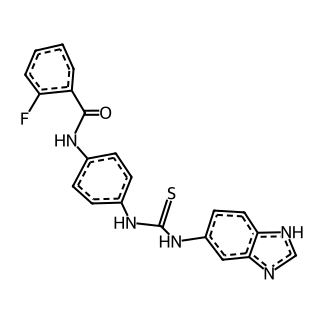 O=C(Nc1ccc(NC(=S)Nc2ccc3[nH]cnc3c2)cc1)c1ccccc1F